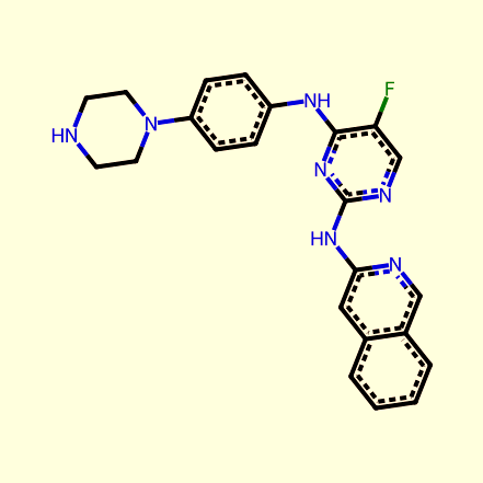 Fc1cnc(Nc2cc3ccccc3cn2)nc1Nc1ccc(N2CCNCC2)cc1